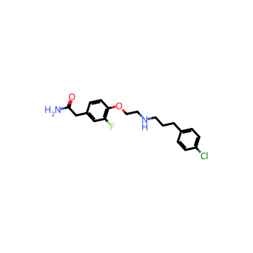 NC(=O)Cc1ccc(OCCNCCCc2ccc(Cl)cc2)c(F)c1